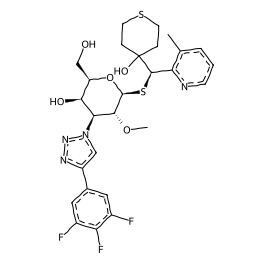 CO[C@@H]1[C@@H](n2cc(-c3cc(F)c(F)c(F)c3)nn2)[C@@H](O)[C@@H](CO)O[C@H]1S[C@H](c1ncccc1C)C1(O)CCSCC1